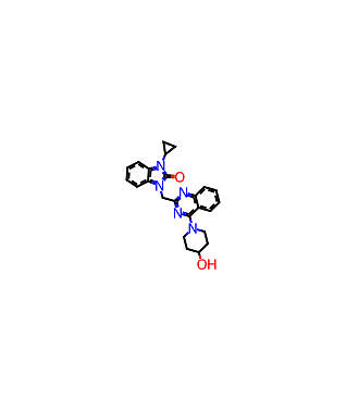 O=c1n(Cc2nc(N3CCC(O)CC3)c3ccccc3n2)c2ccccc2n1C1CC1